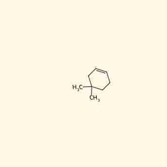 CC1(C)C[C]=CCC1